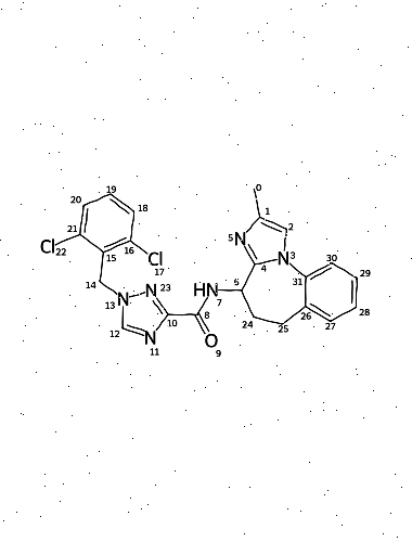 Cc1cn2c(n1)C(NC(=O)c1ncn(Cc3c(Cl)cccc3Cl)n1)CCc1ccccc1-2